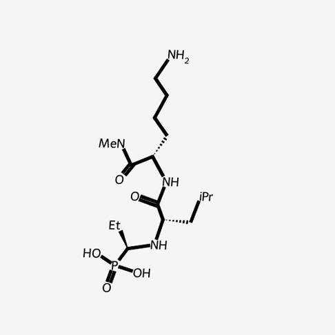 CC[C@@H](N[C@@H](CC(C)C)C(=O)N[C@@H](CCCCN)C(=O)NC)P(=O)(O)O